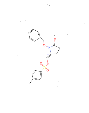 Cc1ccc(S(=O)(=O)O/C=C2\CCC(=O)N2OCc2ccccc2)cc1